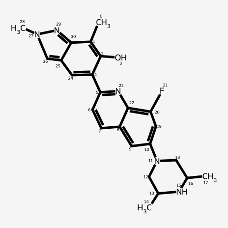 Cc1c(O)c(-c2ccc3cc(N4CC(C)NC(C)C4)cc(F)c3n2)cc2cn(C)nc12